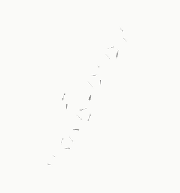 C=CC(=O)Oc1ccc(/C=C/c2ccc(C#Cc3ccc(C(=O)Oc4ccc(OC(=O)C(=C)C)cc4)cc3)c(OC(=O)C(=C)C)c2CCCF)cc1